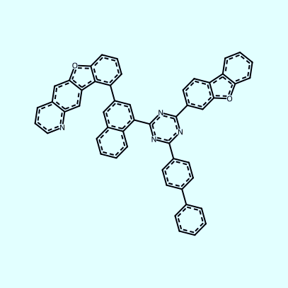 c1ccc(-c2ccc(-c3nc(-c4ccc5c(c4)oc4ccccc45)nc(-c4cc(-c5cccc6oc7cc8cccnc8cc7c56)cc5ccccc45)n3)cc2)cc1